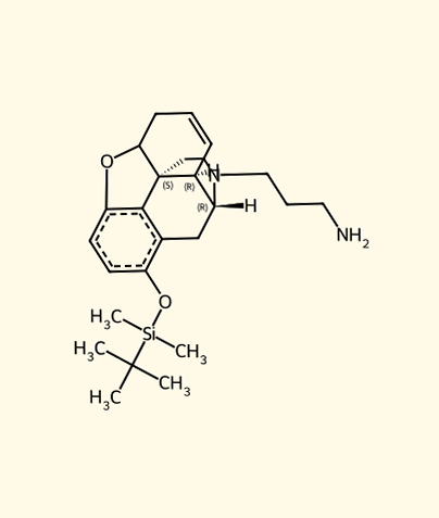 CC(C)(C)[Si](C)(C)Oc1ccc2c3c1C[C@@H]1[C@@H]4C=CCC(O2)[C@]34CCN1CCCN